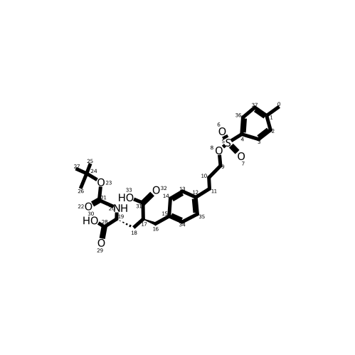 Cc1ccc(S(=O)(=O)OCCCc2ccc(C[C@@H](C[C@@H](NC(=O)OC(C)(C)C)C(=O)O)C(=O)O)cc2)cc1